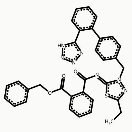 CCc1nn(Cc2ccc(-c3ccccc3-c3nnn[nH]3)cc2)c(=NC(=O)c2ccccc2C(=O)OCc2ccccc2)s1